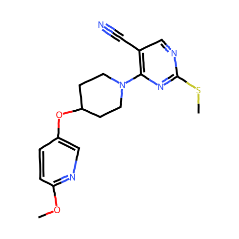 COc1ccc(OC2CCN(c3nc(SC)ncc3C#N)CC2)cn1